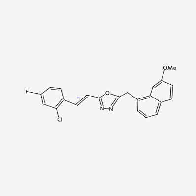 COc1ccc2cccc(Cc3nnc(/C=C/c4ccc(F)cc4Cl)o3)c2c1